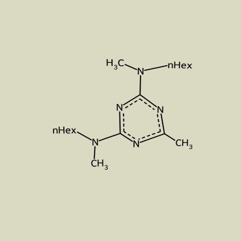 CCCCCCN(C)c1nc(C)nc(N(C)CCCCCC)n1